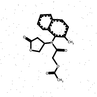 CC(=O)OCC(=O)N(c1c(C)ccc2ccccc12)C1COC(=O)C1